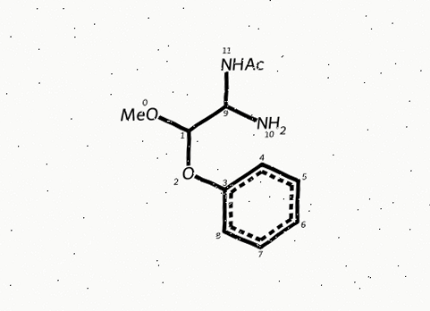 COC(Oc1ccccc1)C(N)NC(C)=O